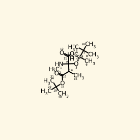 CNC(O[Si](C)(C)C(C)(C)C)(C(=O)O)C(C)C(=O)OC(C)(C)C